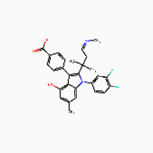 C/N=C\CC(C)(C)c1c(-c2ccc(C(=O)O)cc2)c2c(O)cc(C)cc2n1-c1ccc(F)c(F)c1